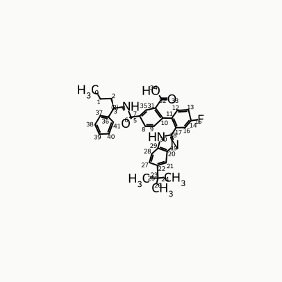 CCC[C@@H](NC(=O)c1ccc(-c2ccc(F)cc2-c2nc3cc(C(C)(C)C)ccc3[nH]2)c(C(=O)O)c1)c1ccccc1